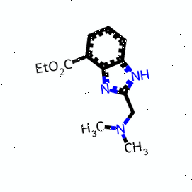 CCOC(=O)c1cccc2[nH]c(CN(C)C)nc12